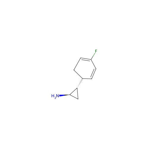 N[C@@H]1C[C@H]1C1C=CC(F)=CC1